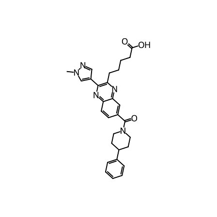 Cn1cc(-c2nc3ccc(C(=O)N4CCC(c5ccccc5)CC4)cc3nc2CCCCC(=O)O)cn1